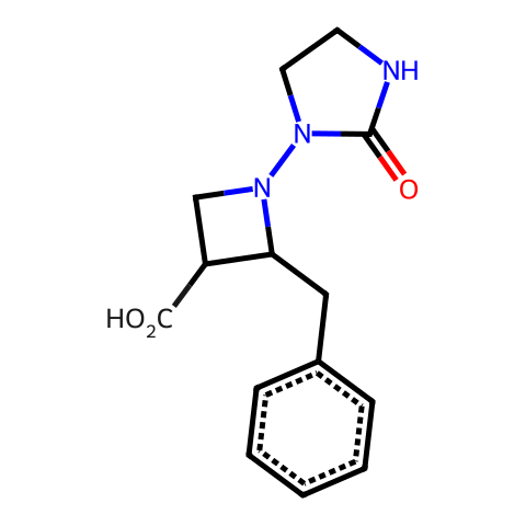 O=C(O)C1CN(N2CCNC2=O)C1Cc1ccccc1